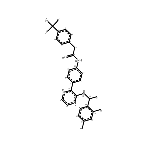 CCC(F)(F)c1ccc(CC(=O)Nc2ccc(-c3nccnc3NC(C)c3ccc(C)cc3C)cc2)cc1